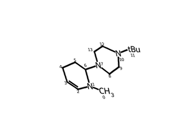 CN1C=CCCC1N1CCN(C(C)(C)C)CC1